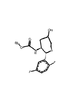 CC(C)(C)OC(=O)N[C@H]1CC(O)CS[C@@H]1c1cc(F)ccc1F